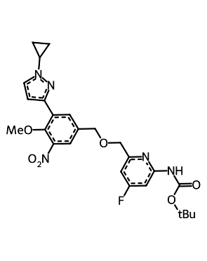 COc1c(-c2ccn(C3CC3)n2)cc(COCc2cc(F)cc(NC(=O)OC(C)(C)C)n2)cc1[N+](=O)[O-]